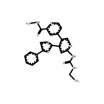 CCNC(=O)Nc1cc(-c2nc(-c3ccccc3)cs2)c(-c2ccnc(C(=O)NN)c2)cn1